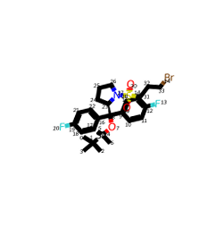 CC(C)(C)[Si](C)(C)OC(c1ccc(F)cc1)(c1ccc(F)cc1)[C@H]1CCCN1S(=O)(=O)CCCBr